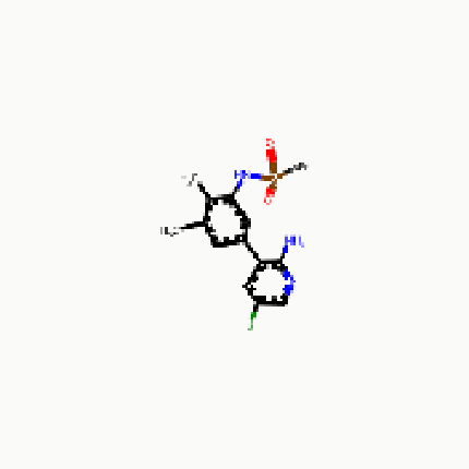 CCCS(=O)(=O)Nc1cc(-c2cc(Br)cnc2N)cc(C)c1C